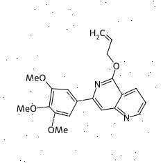 C=CCOc1nc(-c2cc(OC)c(OC)c(OC)c2)cc2ncccc12